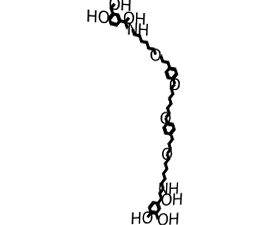 OCc1cc(C(O)CNCCCCCCOCCCc2ccc(OCCCCCCOc3ccc(CCCOCCCCCCNCC(O)c4ccc(O)c(CO)c4)cc3)cc2)ccc1O